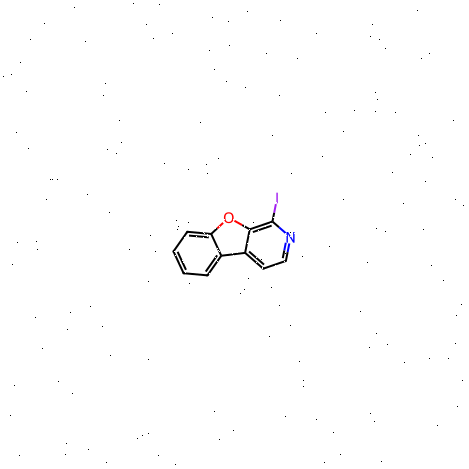 Ic1nccc2c1oc1ccccc12